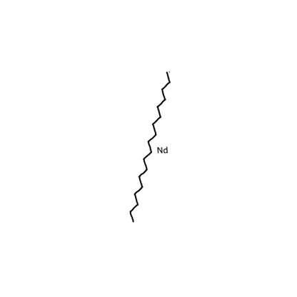 [CH2]CCCCCCCCCCCCCCCCC.[Nd]